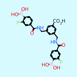 O=C(O)c1cc(CNC(=O)c2ccc(B(O)O)c(F)c2)cc(CNC(=O)c2ccc(B(O)O)c(F)c2)c1